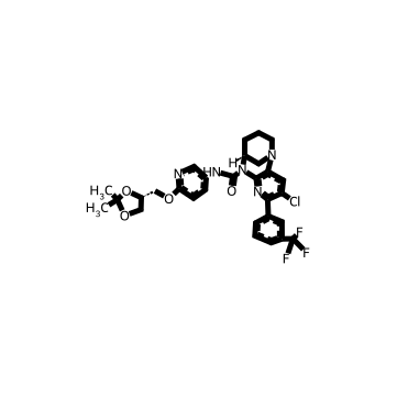 CC1(C)OC[C@@H](COc2ccc(NC(=O)N3c4nc(-c5cccc(C(F)(F)F)c5)c(Cl)cc4N4CCC[C@H]3C4)cn2)O1